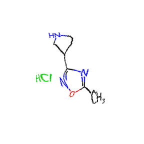 Cc1nc(C2CNC2)no1.Cl